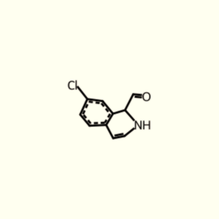 O=CC1NC=Cc2ccc(Cl)cc21